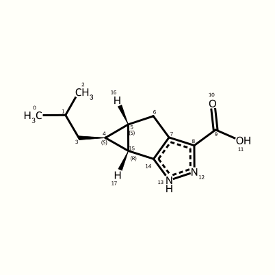 CC(C)C[C@H]1[C@@H]2Cc3c(C(=O)O)n[nH]c3[C@@H]21